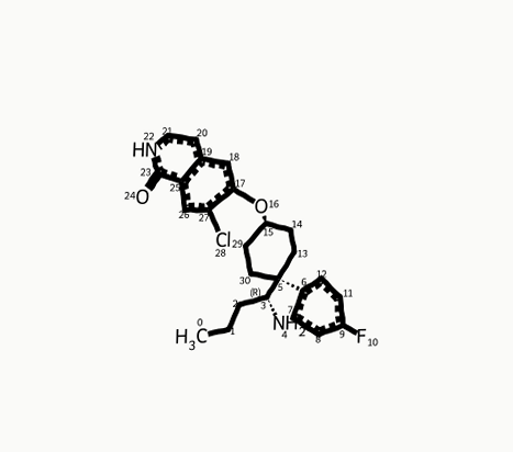 CCC[C@@H](N)[C@]1(c2ccc(F)cc2)CC[C@@H](Oc2cc3cc[nH]c(=O)c3cc2Cl)CC1